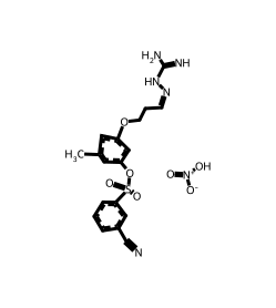 Cc1cc(OCC/C=N\NC(=N)N)cc(OS(=O)(=O)c2cccc(C#N)c2)c1.O=[N+]([O-])O